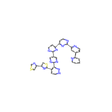 [c]1cccnc1-c1ccnc(-c2nccc(-c3ccnc(-c4cnc(-c5nnccc5-c5nc(-c6cscn6)cs5)nc4)n3)n2)c1